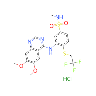 CNS(=O)(=O)c1ccc(SCC(F)(F)F)c(Nc2ncnc3cc(OC)c(OC)cc23)c1.Cl